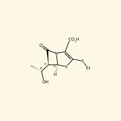 CCSC1=C(C(=O)O)N2C(=O)[C@H]([C@@H](C)O)[C@@H]2S1